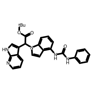 CC(C)(C)OC(=O)C(c1c[nH]c2ncccc12)n1ccc2c(NC(=O)Nc3ccccc3)cccc21